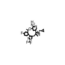 CC1Oc2cc(cnc2N)-c2c(cnn2CC2CC2)Cc2cn(C(F)F)nc2-c2ccc(F)cc21